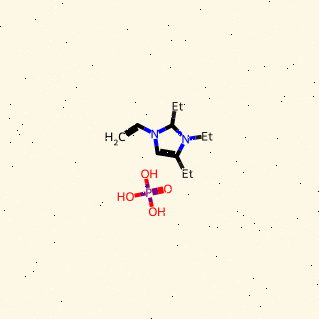 C=CN1C=C(CC)N(CC)C1CC.O=P(O)(O)O